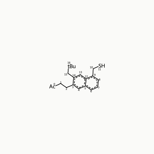 CC(=O)CCc1cc2cccc(CS)c2cc1CC(C)(C)C